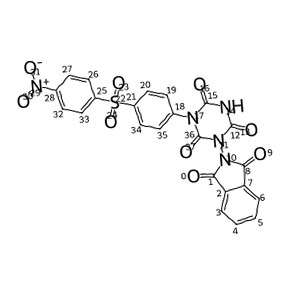 O=C1c2ccccc2C(=O)N1n1c(=O)[nH]c(=O)n(-c2ccc(S(=O)(=O)c3ccc([N+](=O)[O-])cc3)cc2)c1=O